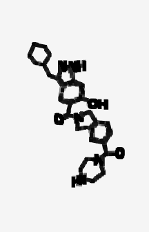 O=C(c1ccc2c(c1)CN(C(=O)c1cc3c(CC4CCCCC4)n[nH]c3cc1O)C2)N1CCNCC1